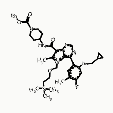 Cc1cc(-c2ncnc3c(C(=O)NC4CCN(C(=O)OC(C)(C)C)CC4)c(C)n(COCC[Si](C)(C)C)c23)c(OCC2CC2)cc1F